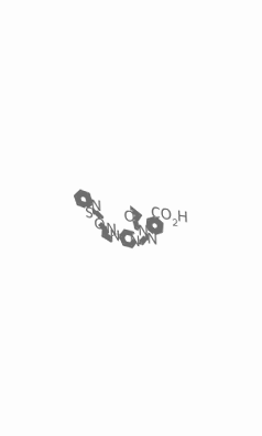 O=C(O)c1ccc2nc(CN3CCC(n4ccc(OCc5nc6ccccc6s5)n4)CC3)n(CC3CCO3)c2c1